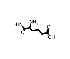 [NH]C(=O)C(N)CCCC(=O)O